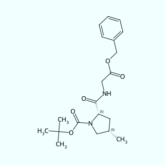 C[C@H]1C[C@@H](C(=O)NCC(=O)OCc2ccccc2)N(C(=O)OC(C)(C)C)C1